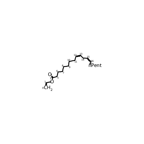 C=COC(=O)CCCCCCC/C=C\C/C=C\CCCCC